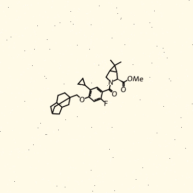 COC(=O)[C@@H]1C2C(CN1C(=O)c1cc(C3CC3)c(OCC34CCC5CC(CC5C3)C4)cc1F)C2(C)C